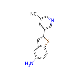 N#Cc1cncc(-c2cc3cc(N)ccc3s2)c1